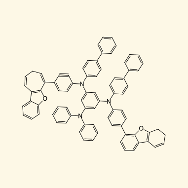 c1c(C2=CCC=Cc3c2oc2ccccc32)ccc(N(c2ccc(-c3ccccc3)cc2)c2cc(N(c3ccccc3)c3ccccc3)cc(N(c3ccc(-c4ccccc4)cc3)c3ccc(-c4cccc5c6c(oc45)CCC=C6)cc3)c2)c#1